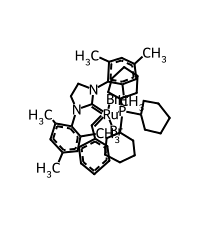 Cc1cc(C)c(N2CCN(c3c(C)cc(C)cc3C)[C]2=[Ru]([Br])([Br])(=[CH]c2ccccc2)[PH](C2CCCCC2)(C2CCCCC2)C2CCCCC2)c(C)c1